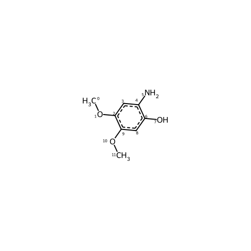 COc1cc(N)c(O)cc1OC